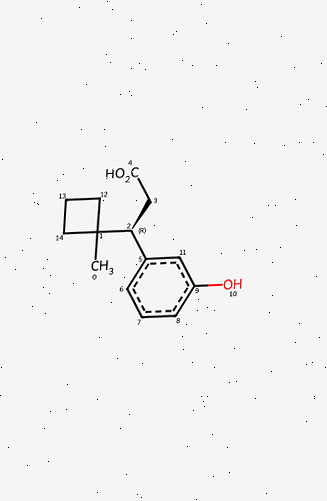 CC1([C@@H](CC(=O)O)c2cccc(O)c2)CCC1